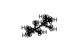 C\C(=C/C=C/C=C/C(CCCS(=O)(=O)O)=[N+](\CCCS(=O)(=O)O)c1ccc2c(S(=O)(=O)O)cc(S(=O)(=O)O)cc2c1C)N(CCCCCC(=O)O)c1ccc2c(S(=O)(=O)O)cc(S(=O)(=O)O)cc2c1C